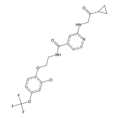 O=C(NCCOc1ccc(OC(F)(F)F)cc1Cl)c1ccnc(NCC(=O)C2CC2)c1